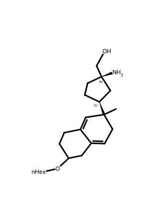 CCCCCCOC1CCC2=CC(C)([C@H]3CC[C@](N)(CO)C3)CC=C2C1